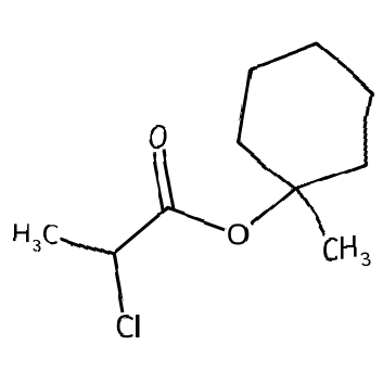 CC(Cl)C(=O)OC1(C)CCCCC1